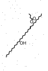 CCCCCCCCCCC(O)CCCCCCCC=CCC(CCCCCC)OC(=O)CCC